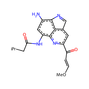 CO/C=C/C(=O)c1cc2c3c(c(N)cc(NC(=O)CC(C)C)c3n1)N=C2